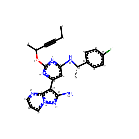 CCC#CC(C)Oc1nc(N[C@@H](C)c2ccc(F)cc2)cc(-c2c(N)nn3cccnc23)n1